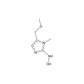 COCc1cnc(NO)n1C